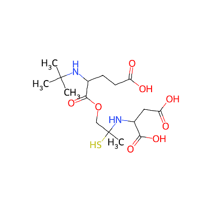 CC(C)(C)NC(CCC(=O)O)C(=O)OCC(C)(S)NC(CC(=O)O)C(=O)O